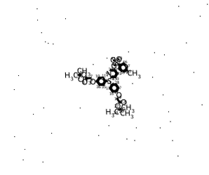 CC(C)(C)OC(=O)COc1ccc([S+](c2ccc(OCC(=O)OC(C)(C)C)cc2)c2ccccn2)cc1.Cc1ccc(S(=O)(=O)[O-])cc1